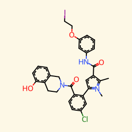 Cc1c(C(=O)Nc2cccc(OCCI)c2)cc(-c2cc(Cl)ccc2C(=O)N2CCc3c(O)cccc3C2)n1C